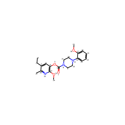 CCc1cc(OC(=O)N2CCN(c3ccccc3OC)CC2)c(OC)nc1C